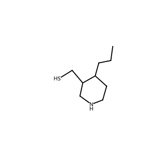 CCCC1CCNCC1CS